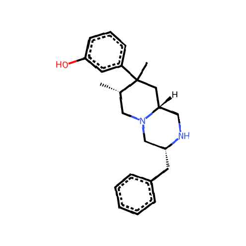 C[C@H]1CN2C[C@@H](Cc3ccccc3)NC[C@H]2CC1(C)c1cccc(O)c1